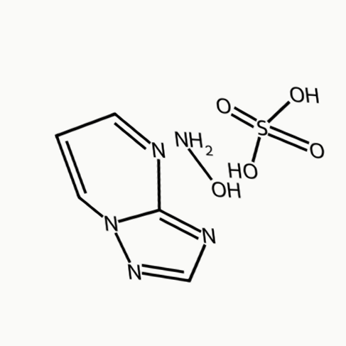 NO.O=S(=O)(O)O.c1cnc2ncnn2c1